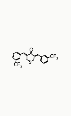 O=C1C(=Cc2cccc(C(F)(F)F)c2)CSCC1=Cc1cccc(C(F)(F)F)c1